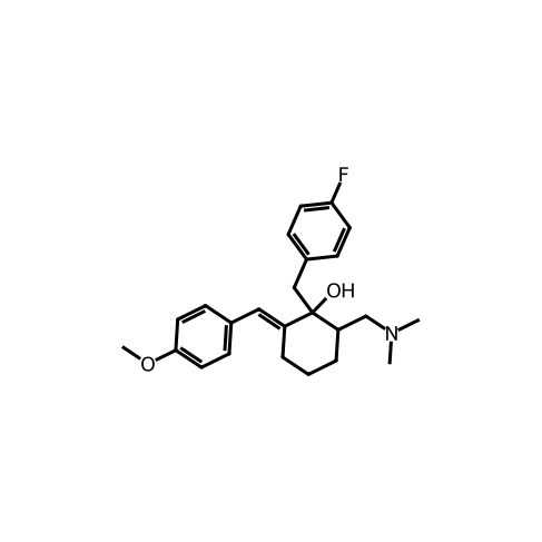 COc1ccc(C=C2CCCC(CN(C)C)C2(O)Cc2ccc(F)cc2)cc1